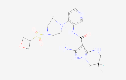 CCCC1(F)CNc2c(C(=O)Nc3cnccc3N3CCN(S(=O)(=O)C4COC4)CC3)c(N)nn2C1